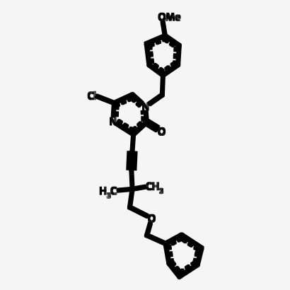 COc1ccc(Cn2cc(Cl)nc(C#CC(C)(C)COCc3ccccc3)c2=O)cc1